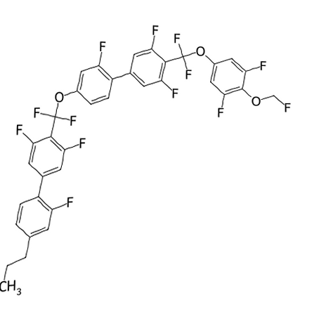 CCCc1ccc(-c2cc(F)c(C(F)(F)Oc3ccc(-c4cc(F)c(C(F)(F)Oc5cc(F)c(OCF)c(F)c5)c(F)c4)c(F)c3)c(F)c2)c(F)c1